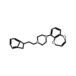 C1=COc2cccc(N3CCN(CCC4Cc5ccccc54)CC3)c2OC1